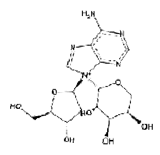 Nc1ncnc2c1N=C[N+]2([C@@H]1OC[C@@H](O)[C@@H](O)[C@H]1O)[C@H]1C[C@H](O)[C@@H](CO)O1